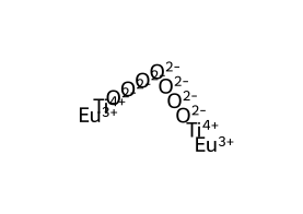 [Eu+3].[Eu+3].[O-2].[O-2].[O-2].[O-2].[O-2].[O-2].[O-2].[Ti+4].[Ti+4]